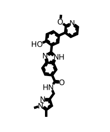 COc1ncccc1-c1ccc(O)c(-c2nc3ccc(C(=O)NCc4cc(C)n(C)n4)cc3[nH]2)c1